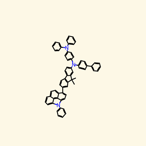 CC1(C)c2cc(-c3ccc4c5c3ccc3cccc(c35)n4-c3ccccc3)ccc2-c2ccc(N(c3ccc(-c4ccccc4)cc3)c3ccc(N(c4ccccc4)c4ccccc4)cc3)cc21